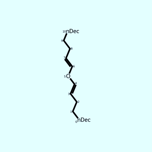 CCCCCCCCCCCCC=COC=CCCCCCCCCCCCC